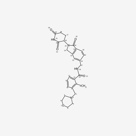 Cc1c(CN2CCOCC2)cccc1C(=O)NCc1ccc2c(c1)CN(C1CCC(=O)NC1=O)C2=O